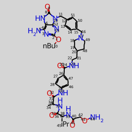 CCCCOc1nc(N)c2[nH]c(=O)n(Cc3ccc(CN4CCC(CCNC(=O)c5ccc(NC(=O)[C@H](C)NC(=O)[C@@H](NC(=O)CON)C(C)C)cc5)CC4)cc3)c2n1